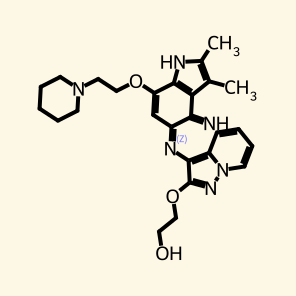 Cc1[nH]c2c(c1C)C(=N)/C(=N\c1c(OCCO)nn3ccccc13)C=C2OCCN1CCCCC1